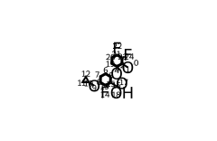 COc1c(Oc2ccc(OC3CC3)c(F)c2C(=O)O)ccc(F)c1F